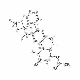 CC1C(=O)NN(OC(=O)C(F)(F)F)C2COc3cc(-c4ccccc4)c(N(C)C4(C)CN(C)C4)cc3N12